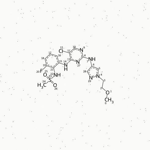 COCCn1cc(Nc2ncc(Cl)c(Nc3cccc(F)c3NS(C)(=O)=O)n2)cn1